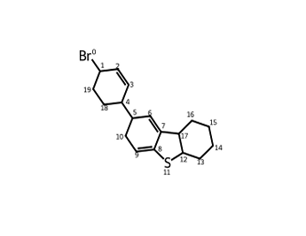 BrC1C=CC(C2C=C3C(=CC2)SC2CCCCC32)CC1